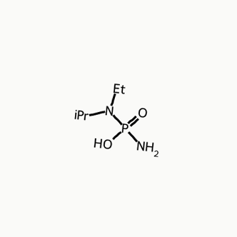 CCN(C(C)C)P(N)(=O)O